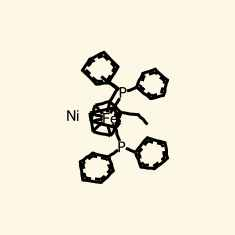 CC[C]12[CH]3[CH]4[C]5(P(c6ccccc6)c6ccccc6)[C]1(CC)[Fe]34251678[CH]2[CH]1[CH]6[C]7(P(c1ccccc1)c1ccccc1)[CH]28.[Ni]